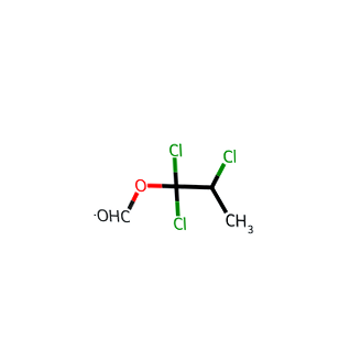 CC(Cl)C(Cl)(Cl)O[C]=O